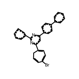 BrC1=CC=C(c2cc(-c3ccc(-c4ccccc4)cc3)nc(-c3ccccc3)n2)CC=C1